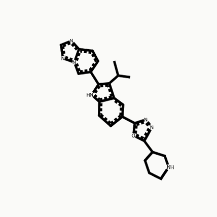 CC(C)c1c(-c2ccc3ncnn3c2)[nH]c2ccc(-c3nnc(C4CCCNC4)o3)cc12